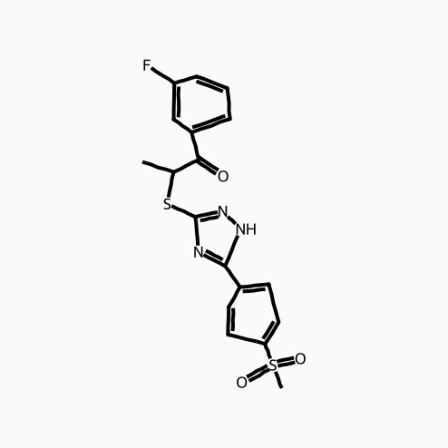 CC(Sc1n[nH]c(-c2ccc(S(C)(=O)=O)cc2)n1)C(=O)c1cccc(F)c1